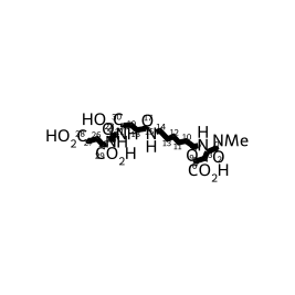 CNC(=O)C(CCC(=O)O)NC(=O)CCCCCNC(=O)CCC(NC(=O)NC(CCC(=O)O)C(=O)O)C(=O)O